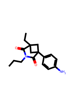 CCCN1C(=O)C2(CC)CC(c3ccc(N)cc3)(C2)C1=O